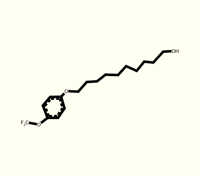 OCCCCCCCCCCOc1ccc(OC(F)(F)F)cc1